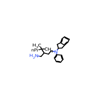 CCCC(C)(C)C(CN)CCN(c1ccccc1)C1Cc2ccccc2C1